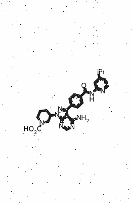 CC(C)c1ccnc(NC(=O)c2ccc(-c3nn(C4CCCN(C(=O)O)C4)c4ncnc(N)c34)cc2)c1